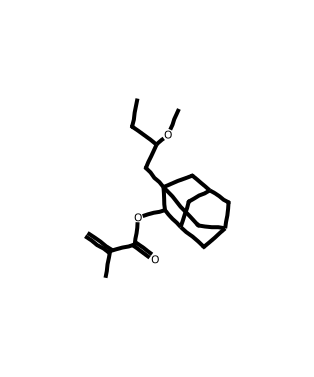 C=C(C)C(=O)OC1C2CC3CC(C2)CC1(CC(CC)OC)C3